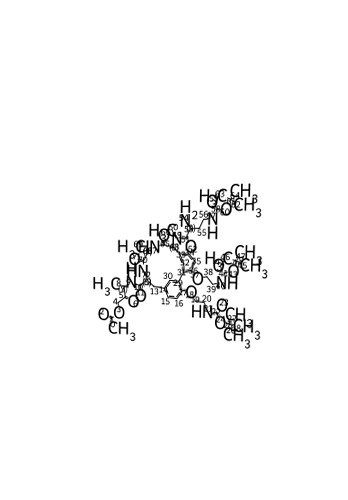 CC(=O)OCC(=O)[C@H](C)NC(=O)[C@@H]1Cc2ccc(OCCNC(=O)OC(C)(C)C)c(c2)-c2cc(ccc2OCCNC(=O)OC(C)(C)C)[C@H](N(C)C(=O)[C@@H](N)CCNC(=O)OC(C)(C)C)C(=O)N[C@@H](C)C(=O)N1